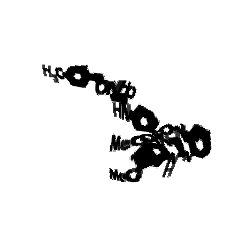 COc1cc(Nc2nc3ccccc3nc2NS(=O)(=O)c2cccc(NC(=O)CNOCc3ccc(C)cc3)c2)cc(OC)c1